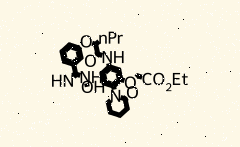 CCCC(Oc1cccc(C(=N)NO)c1)C(=O)Nc1ccc(N2CCCCC2=O)c(OCC(=O)OCC)c1